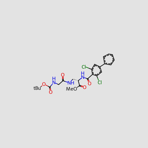 COC(=O)[C@H](CNC(=O)CNC(=O)OC(C)(C)C)NC(=O)c1c(Cl)cc(-c2ccccc2)cc1Cl